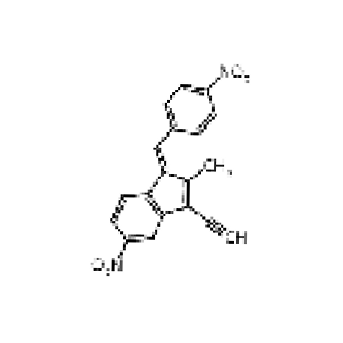 C#CC1=C(C)C(=Cc2ccc([N+](=O)[O-])cc2)c2ccc([N+](=O)[O-])cc21